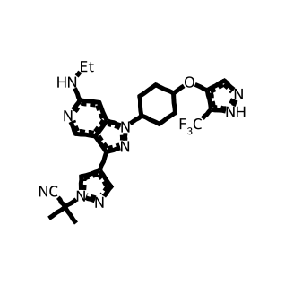 CCNc1cc2c(cn1)c(-c1cnn(C(C)(C)C#N)c1)nn2C1CCC(Oc2cn[nH]c2C(F)(F)F)CC1